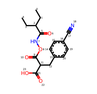 CCC(CC)C(=O)NOC(=O)C(Cc1ccc(C#N)cc1)C(=O)O